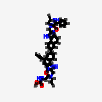 CC#Cc1cc2nc(CN(CCC)C(=O)CNC(=O)OC)[nH]c2c2ccc(-c3ccc4c(ccc5nc(CN(CCC)C(=O)[C@H](N)c6ccccc6)[nH]c54)c3)cc12